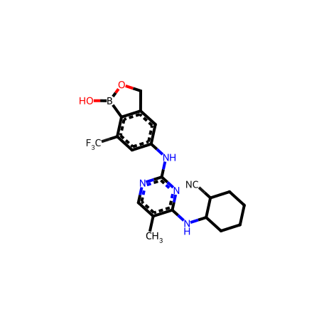 Cc1cnc(Nc2cc3c(c(C(F)(F)F)c2)B(O)OC3)nc1NC1CCCCC1C#N